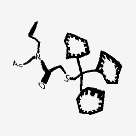 C=CCN(C(C)=O)C(=O)CSC(c1ccccc1)(c1ccccc1)c1ccccc1